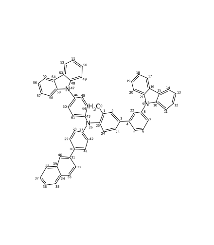 Cc1cc(-c2cccc(-n3c4ccccc4c4ccccc43)c2)ccc1N(c1ccc(-c2ccc3ccccc3c2)cc1)c1ccc(-n2c3ccccc3c3ccccc32)cc1